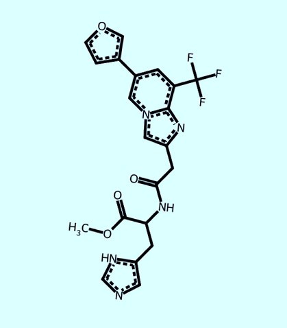 COC(=O)C(Cc1cnc[nH]1)NC(=O)Cc1cn2cc(-c3ccoc3)cc(C(F)(F)F)c2n1